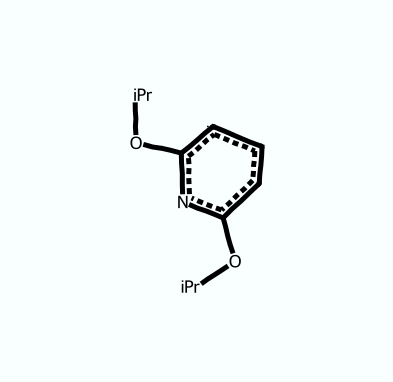 CC(C)Oc1[c]ccc(OC(C)C)n1